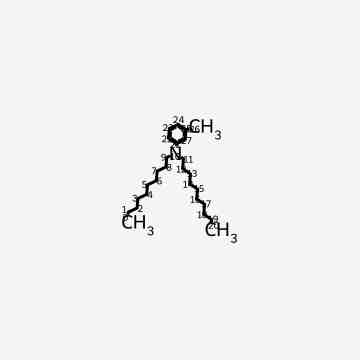 CCCCCCCCCCN(CCCCCCCCCC)c1cccc(C)c1